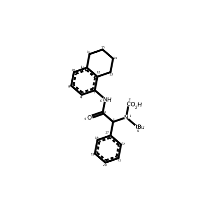 CC(C)(C)N(C(=O)O)C(C(=O)Nc1cccc2c1CCCC2)c1ccccc1